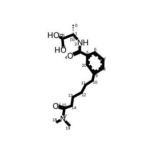 C[C@H](NC(=O)c1cccc(CCCCCC(=O)N(C)C)c1)C(O)O